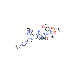 COc1cc(N2CCC(N3CCN(C)CC3)CC2)c(-c2cnn(C)c2)cc1Nc1ncc(Br)c(Nc2cc3c(cc2N(C)S(C)(=O)=O)CCO3)n1